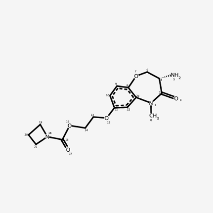 CN1C(=O)[C@@H](N)COc2ccc(OCCOC(=O)N3CCC3)cc21